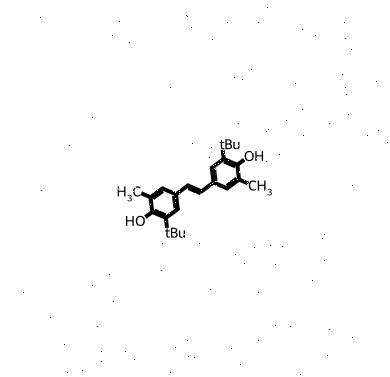 Cc1cc(C=Cc2cc(C)c(O)c(C(C)(C)C)c2)cc(C(C)(C)C)c1O